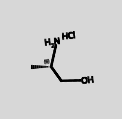 C[C@H](N)CO.Cl